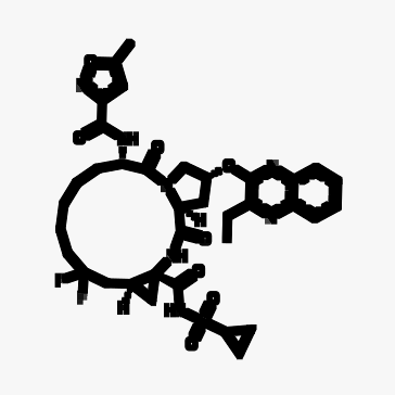 CCc1nc2ccccc2nc1O[C@@H]1C[C@H]2C(=O)N[C@]3(C(=O)NS(=O)(=O)C4CC4)C[C@H]3CC(F)(F)CCCCC[C@H](NC(=O)c3cc(C)on3)C(=O)N2C1